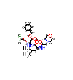 CC(C)C[C@H](NC(=O)CN1CCOCC1)C(=O)N[C@@H](COC(F)F)C(=O)OCc1ccccc1